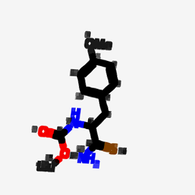 COc1ccc(CC(NC(=O)OC(C)(C)C)C(N)=S)cc1